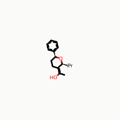 C/C(O)=C1/CC[C@@H](c2ccccc2)O[C@H]1C(C)C